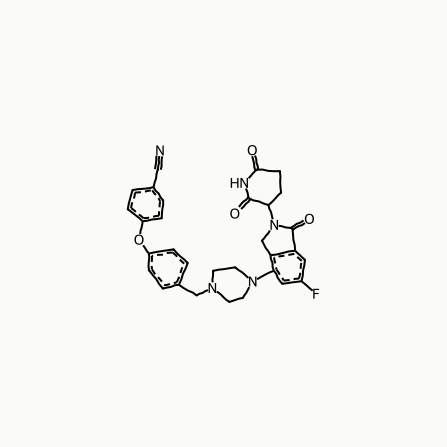 N#Cc1ccc(Oc2ccc(CN3CCN(c4cc(F)cc5c4CN(C4CCC(=O)NC4=O)C5=O)CC3)cc2)cc1